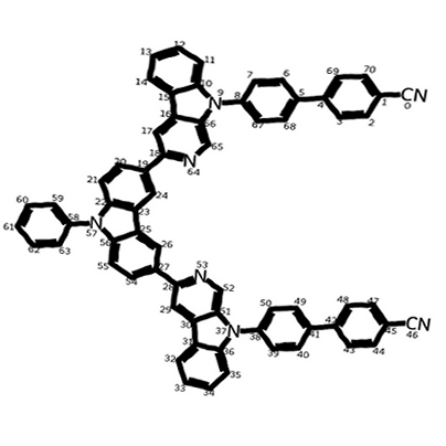 N#Cc1ccc(-c2ccc(-n3c4ccccc4c4cc(-c5ccc6c(c5)c5cc(-c7cc8c9ccccc9n(-c9ccc(-c%10ccc(C#N)cc%10)cc9)c8cn7)ccc5n6-c5ccccc5)ncc43)cc2)cc1